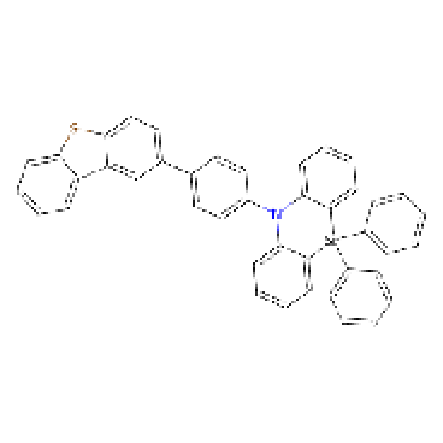 c1ccc([Si]2(c3ccccc3)c3ccccc3N(c3ccc(-c4ccc5sc6ccccc6c5c4)cc3)c3ccccc32)cc1